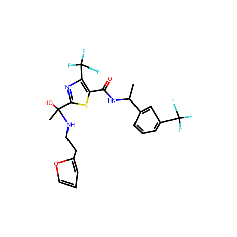 CC(NC(=O)c1sc(C(C)(O)NCCc2ccco2)nc1C(F)(F)F)c1cccc(C(F)(F)F)c1